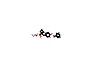 CCOC(=O)C1(Cc2ccc(OCc3ccccc3)cc2)CCC1